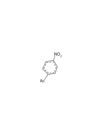 [CH2]C(=O)c1ccc([N+](=O)[O-])cc1